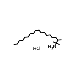 CCCCCCCC/C=C\CCCCCCC(C)C(C)(C)N.Cl